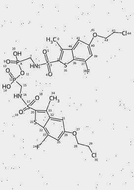 Cc1c(S(=O)(=O)NCP(=O)(O)OP(=O)(O)CNS(=O)(=O)c2sc3c(F)cc(OCCCl)cc3c2C)sc2c(F)cc(OCCCl)cc12